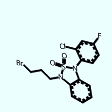 O=S1(=O)N(CCCBr)c2ccccc2N1c1ccc(F)cc1Cl